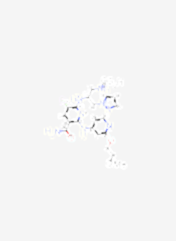 COCCOc1cc(Nc2nc(NC(CNC(=O)O)Cn3cccn3)c(F)cc2C(N)=O)ccn1